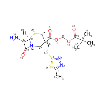 Cc1nnc(SCC2(C(=O)OCOC(=O)C(C)(C)C)CS[C@@H]3C(N)C(=O)N3C2)s1